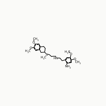 COc1cc(N)c(CCNCCCN(C)C2CCc3cc(OC)c(OC)cc3C2)cc1OC